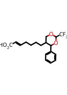 O=C(O)C=CCCCCC1COC(C(F)(F)F)OC1c1ccccc1